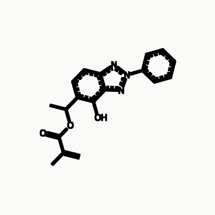 C=C(C)C(=O)OC(C)c1ccc2nn(-c3ccccc3)nc2c1O